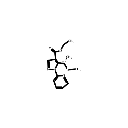 CCOC(=O)c1cnn(-c2ccccn2)c1[C@H](C)OC